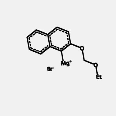 CCOCOc1ccc2ccccc2[c]1[Mg+].[Br-]